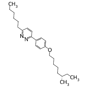 CCCCCCc1ccc(-c2ccc(OCCCCC[C@@H](C)CC)cc2)nn1